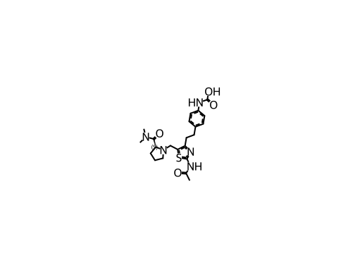 CC(=O)Nc1nc(CCc2ccc(NC(=O)O)cc2)c(CN2CCC[C@H]2C(=O)N(C)C)s1